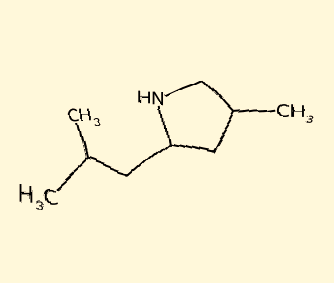 CC(C)CC1CC(C)CN1